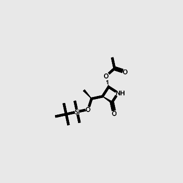 CC(=O)O[C@@H]1NC(=O)[C@H]1[C@H](C)O[Si](C)(C)C(C)(C)C